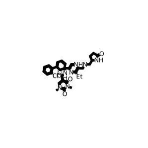 CCc1nc(C2(NC(=O)c3cn(C)c(=O)n(C)c3=O)C=CC=C(c3ccccc3Cl)[C@@H]2Cl)cnc1CNCC1CCC(=O)N1